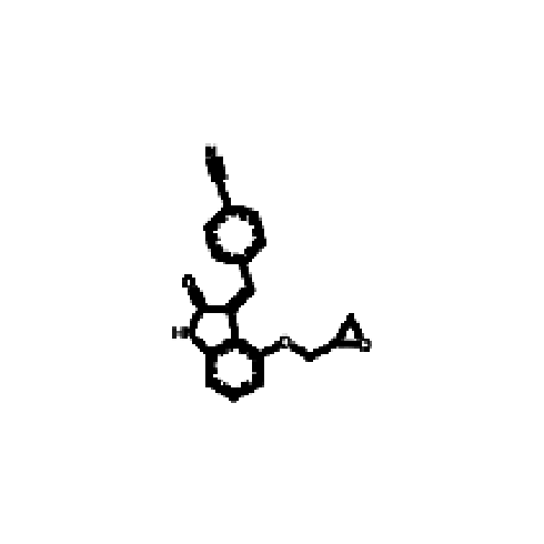 N#Cc1ccc(/C=C2\C(=O)Nc3cccc(OCC4CO4)c32)cc1